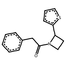 O=C(Cc1ccccc1)N1CCC1c1cccs1